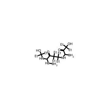 BBC(NC(O)(CC)CC)C(=O)C(CC)(CC)C(CC)(CC)NC(B)C(=O)C(O)(CC)CC